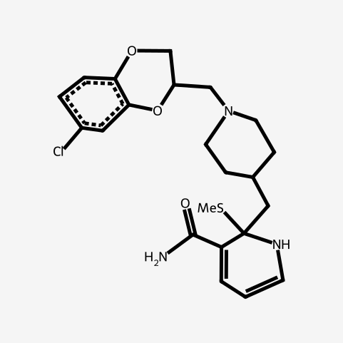 CSC1(CC2CCN(CC3COc4ccc(Cl)cc4O3)CC2)NC=CC=C1C(N)=O